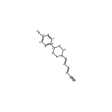 N#CC=CC=CC1CCC(c2ccc(F)cc2)CC1